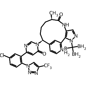 BC(B)(B)n1ncc2c1-c1cc(ccn1)[C@@H](n1cnc(-c3cc(Cl)ccc3-n3cc(C(F)(F)F)nn3)cc1=O)CCC[C@@H](C)C(=O)N2